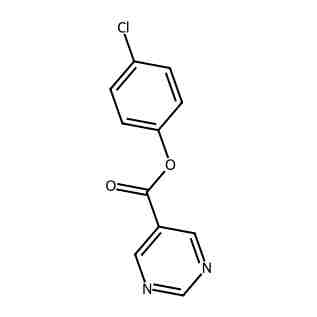 O=C(Oc1ccc(Cl)cc1)c1cncnc1